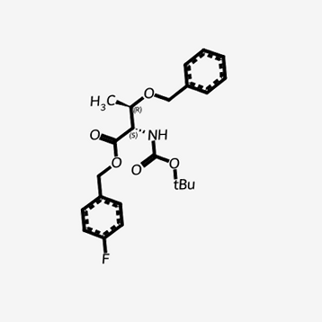 C[C@@H](OCc1ccccc1)[C@H](NC(=O)OC(C)(C)C)C(=O)OCc1ccc(F)cc1